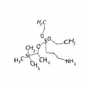 CCO[Si](CCCN)(OCC)OC(C)[Si](C)(C)C